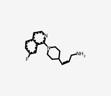 NC/C=C\C1CCN(c2nccc3ccc(F)cc23)CC1